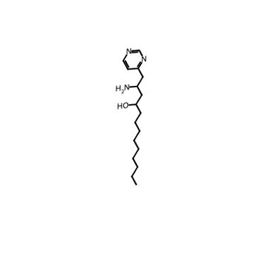 CCCCCCCCCC(O)CC(N)Cc1ccncn1